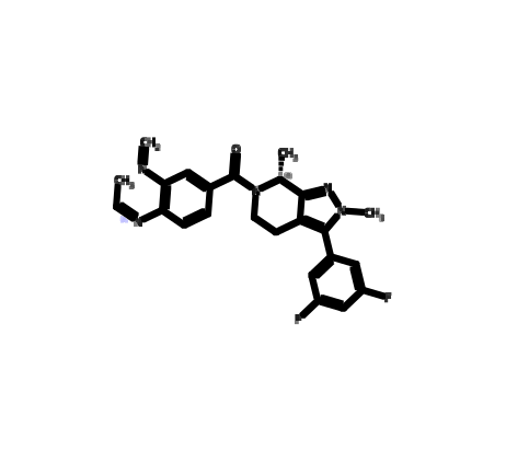 C=Nc1cc(C(=O)N2CCc3c(nn(C)c3-c3cc(F)cc(F)c3)[C@H]2C)ccc1/N=C\C